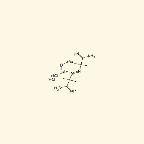 CC(=O)OOC(C)(C)C.CC(C)(N=NC(C)(C)C(=N)N)C(=N)N.Cl.Cl